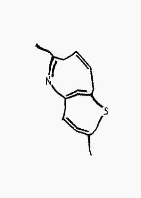 Cc1ccc2sc(C)cc2n1